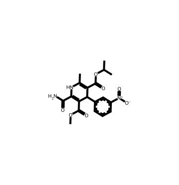 COC(=O)C1=C(C(N)=O)NC(C)=C(C(=O)OC(C)C)C1c1cccc([N+](=O)[O-])c1